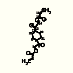 C=CC(=O)OCC(=O)C1CCC(C(=O)COC(=O)C=C)CC1